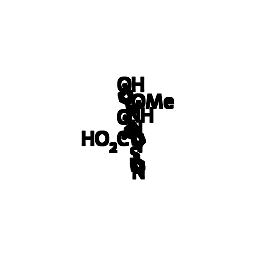 COC[C@H](Cc1ccc(O)cc1)NC(=O)c1cc(C(=O)O)c2cc(CSc3ccncc3)ccc2n1